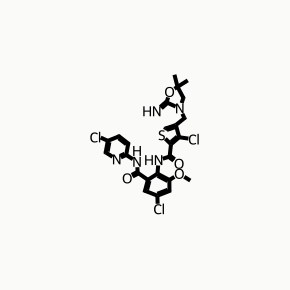 COc1cc(Cl)cc(C(=O)Nc2ccc(Cl)cn2)c1NC(=O)c1scc(CN2CC(C)(C)OC2=N)c1Cl